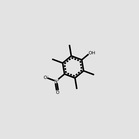 Cc1c(C)c([N+](=O)[O-])c(C)c(C)c1O